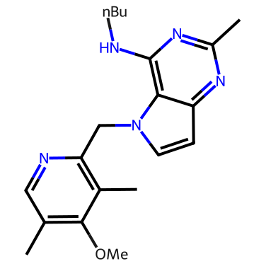 CCCCNc1nc(C)nc2ccn(Cc3ncc(C)c(OC)c3C)c12